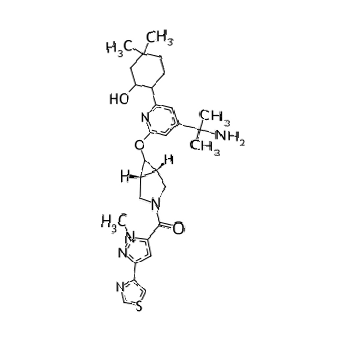 Cn1nc(-c2cscn2)cc1C(=O)N1C[C@@H]2C(Oc3cc(C(C)(C)N)cc(C4CCC(C)(C)CC4O)n3)[C@@H]2C1